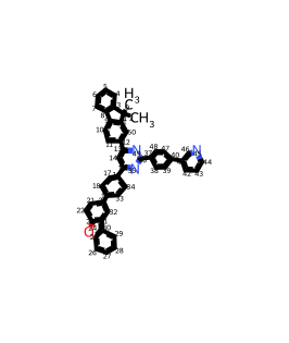 CC1(C)c2ccccc2-c2ccc(-c3cc(-c4ccc(-c5ccc6oc7ccccc7c6c5)cc4)nc(-c4ccc(-c5cccnc5)cc4)n3)cc21